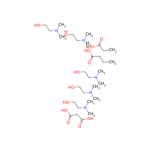 CCC(=O)O.CCCC(=O)O.CN(C)CCO.CN(C)CCO.CN(C)CCO.CN(C)CCO.CN(C)CCO.O=C(O)CC(=O)O